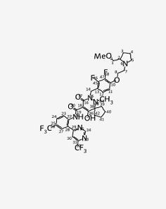 COCC1CCCN1CCOc1ccc(CN2C(=O)C(C(=O)Nc3ccc(C(F)(F)F)cc3-c3cc(C(F)(F)F)ncn3)=C(O)C3(CCCC3)N2C)c(F)c1F